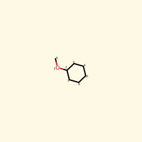 COC1CC[C]CC1